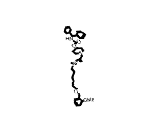 C=C(CN1CCC(OC(=O)NC(c2ccccc2)c2ccccc2)CC1)C[N+](C)(C)CCCCCCOCc1ccccc1OC